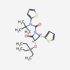 CC[Si](CC)(CC)O[C@@H]1C(=O)N(C(=O)N(c2cccs2)C(C)(C)C)[C@@H]1c1cccs1